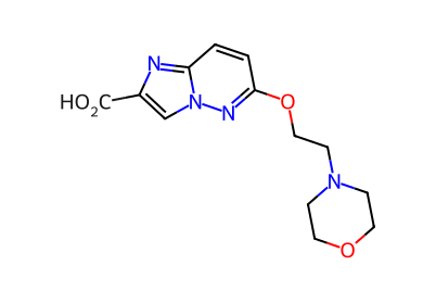 O=C(O)c1cn2nc(OCCN3CCOCC3)ccc2n1